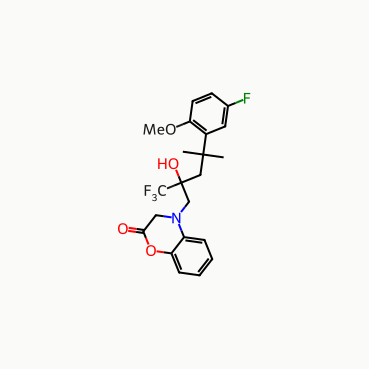 COc1ccc(F)cc1C(C)(C)CC(O)(CN1CC(=O)Oc2ccccc21)C(F)(F)F